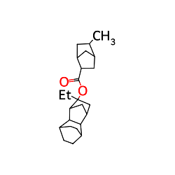 CCC1(OC(=O)C2CC3CC2CC3C)CC2CC1C1C3CCC(CC3)C21